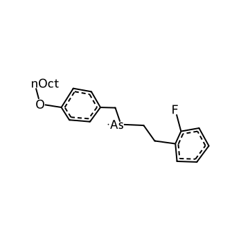 CCCCCCCCOc1ccc(C[As]CCc2ccccc2F)cc1